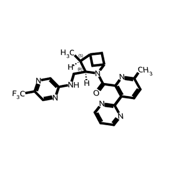 Cc1ccc(-c2ncccn2)c(C(=O)N2C3CC(C3)[C@H](C)[C@@H]2CNc2cnc(C(F)(F)F)cn2)n1